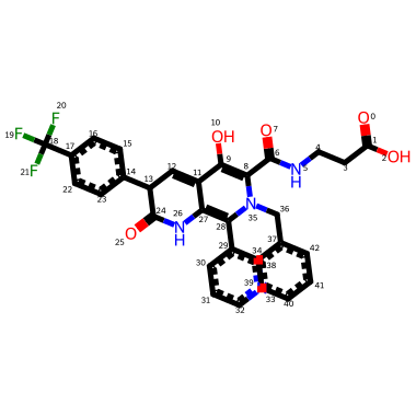 O=C(O)CCNC(=O)C1=C(O)C2=CC(c3ccc(C(F)(F)F)cc3)C(=O)NC2=C(c2cccnc2)N1Cc1ccccc1